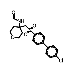 O=CNC1(CS(=O)(=O)c2ccc(-c3ccc(Cl)cc3)cc2)CCOCC1